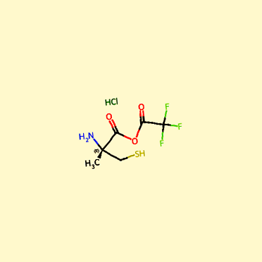 C[C@](N)(CS)C(=O)OC(=O)C(F)(F)F.Cl